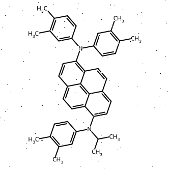 Cc1ccc(N(c2ccc(C)c(C)c2)c2ccc3ccc4c(N(c5ccc(C)c(C)c5)C(C)C)ccc5ccc2c3c54)cc1C